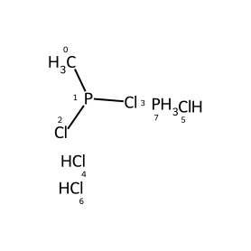 CP(Cl)Cl.Cl.Cl.Cl.P